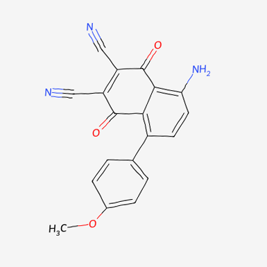 COc1ccc(-c2ccc(N)c3c2C(=O)C(C#N)=C(C#N)C3=O)cc1